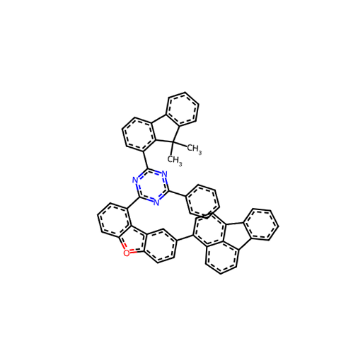 CC1(C)c2ccccc2-c2cccc(-c3nc(-c4ccccc4)nc(-c4cccc5oc6ccc(-c7ccc8c9c(cccc79)-c7ccccc7-8)cc6c45)n3)c21